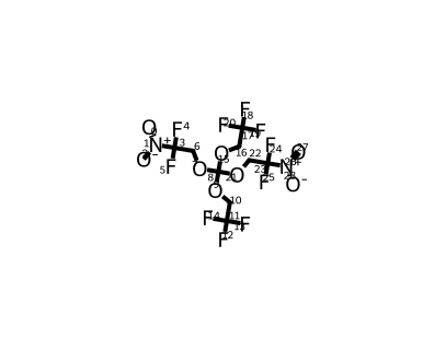 O=[N+]([O-])C(F)(F)COC(OCC(F)(F)F)(OCC(F)(F)F)OCC(F)(F)[N+](=O)[O-]